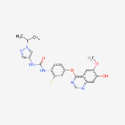 COc1cc2c(Oc3ccc(NC(=O)Nc4cnn(C(C)C)c4)c(F)c3)ncnc2cc1O